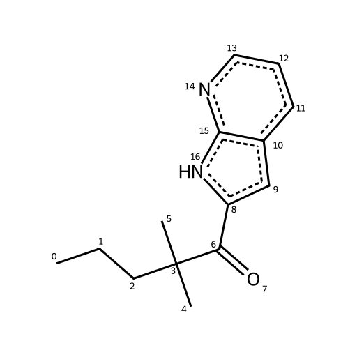 CCCC(C)(C)C(=O)c1cc2cccnc2[nH]1